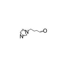 O=CCCCn1ccnc1